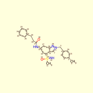 Cc1ccc(Cn2cc3c([S@](C)(=N)=O)cc(NC(=O)CCc4ccccc4)cc3n2)cc1